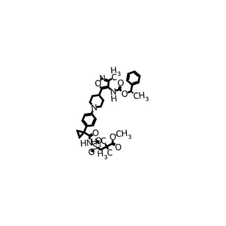 COC(=O)C(C)(C)CS(=O)(=O)NC(=O)C1(c2ccc(N3CCC(c4onc(C)c4NC(=O)O[C@H](C)c4ccccc4)CC3)cc2)CC1